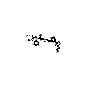 C=CCn1nnc(-c2cccc(CCOCCC(=O)N(CC(OC)OC)C3CCCCC3)c2)n1